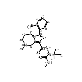 CNC(=O)[C@@H](NC(=O)c1nc(-c2ccncc2Cl)n2c1CN(C)CCC2)C(C)(C)C